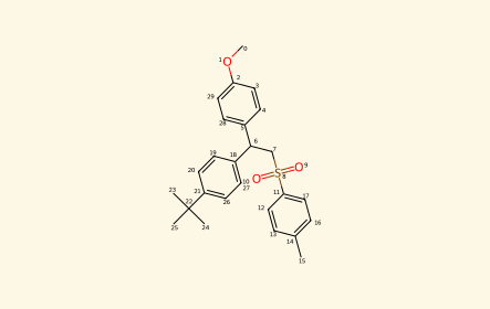 COc1ccc(C(CS(=O)(=O)c2ccc(C)cc2)c2ccc(C(C)(C)C)cc2)cc1